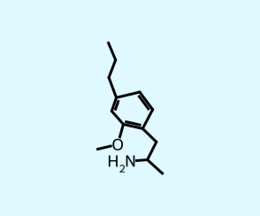 CCCc1ccc(CC(C)N)c(OC)c1